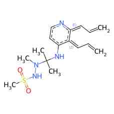 C=C/C=c1/c(NC(C)(C)N(C)NS(C)(=O)=O)ccn/c1=C/C=C